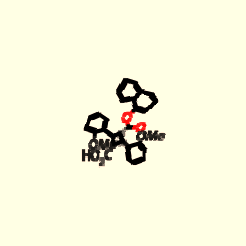 COc1ccccc1C1[C@@H](C(=O)O)[C@H](c2ccccc2OC)[C@H]1C(=O)Oc1cccc2ccccc12